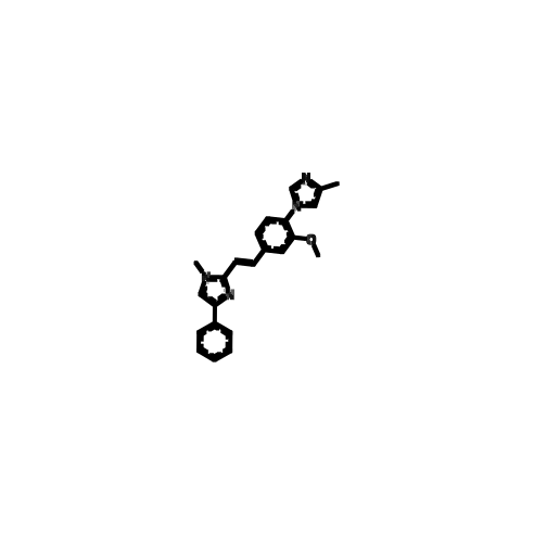 COc1cc(C=Cc2nc(-c3ccccc3)cn2C)ccc1-n1cnc(C)c1